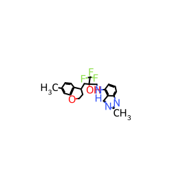 Cc1ccc2c(c1)OCCC2CC(O)(CNc1cccc2nc(C)ncc12)C(F)(F)F